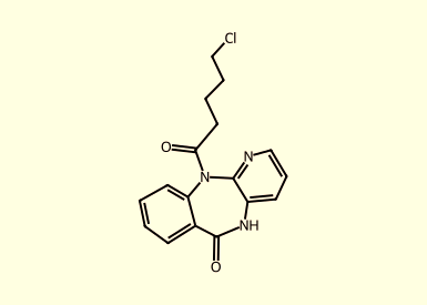 O=C1Nc2cccnc2N(C(=O)CCCCCl)c2ccccc21